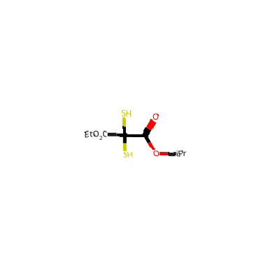 CCOC(=O)C(S)(S)C(=O)OC(C)C